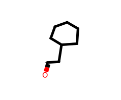 O=[C]CC1CCCCC1